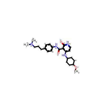 COC1CCC(Nc2cc[nH]c(=O)c2C(=O)Nc2ccc(CCCN(C)C)cc2)CC1